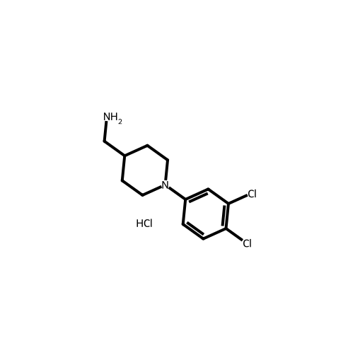 Cl.NCC1CCN(c2ccc(Cl)c(Cl)c2)CC1